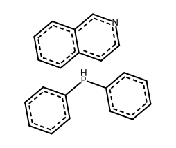 c1ccc(Pc2ccccc2)cc1.c1ccc2cnccc2c1